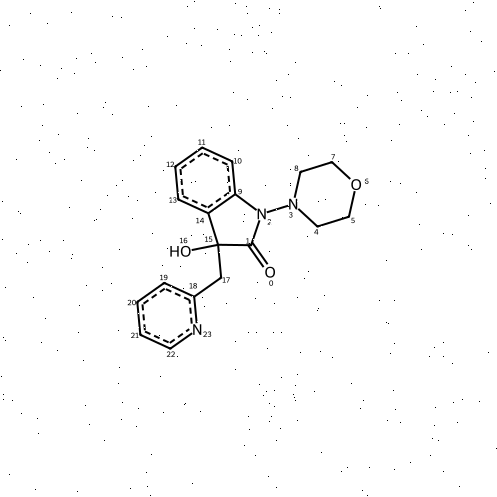 O=C1N(N2CCOCC2)c2ccccc2C1(O)Cc1ccccn1